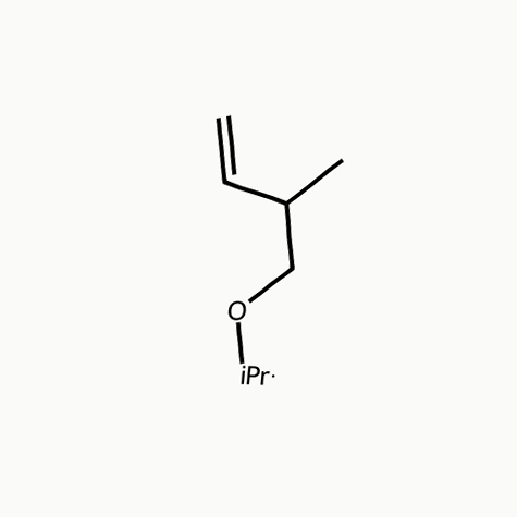 C=CC(C)CO[C](C)C